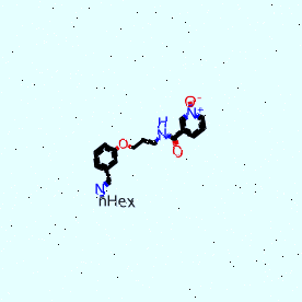 CCCCCCN=Cc1cccc(OCCCNC(=O)c2ccc[n+]([O-])c2)c1